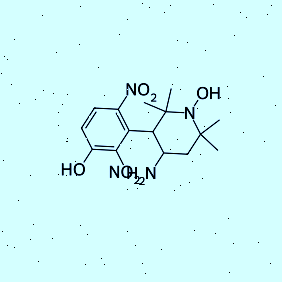 CC1(C)CC(N)C(c2c([N+](=O)[O-])ccc(O)c2[N+](=O)[O-])C(C)(C)N1O